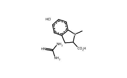 CN1c2ccccc2CC1C(=O)O.Cl.N=C(N)N